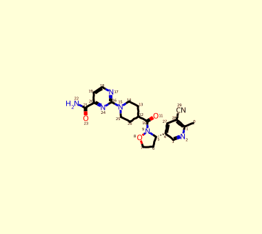 Cc1ncc([C@@H]2CCON2C(=O)C2CCN(c3nccc(C(N)=O)n3)CC2)cc1C#N